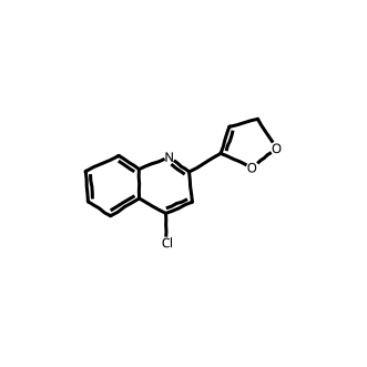 Clc1cc(C2=CCOO2)nc2ccccc12